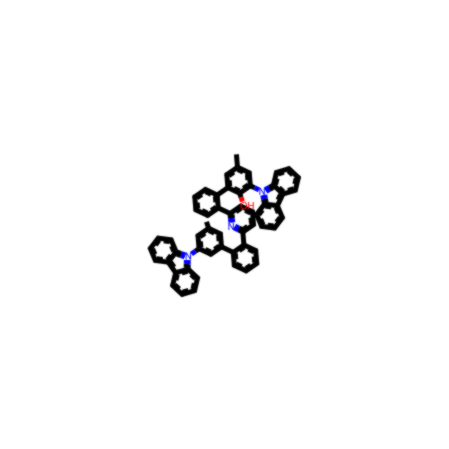 Cc1cc(-c2ccccc2-c2cccc(-c3ccccc3-c3cc(C)cc(-n4c5ccccc5c5ccccc54)c3O)n2)cc(-n2c3ccccc3c3ccccc32)c1